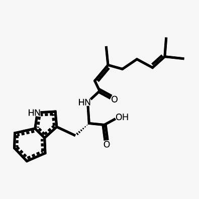 CC(C)=CCCC(C)=CC(=O)N[C@@H](Cc1c[nH]c2ccccc12)C(=O)O